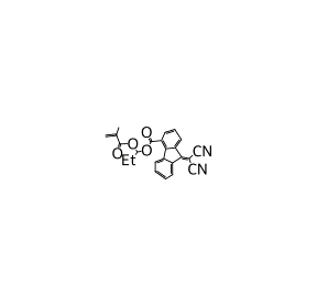 C=C(C)C(=O)OC(CC)OC(=O)c1cccc2c1-c1ccccc1C2=C(C#N)C#N